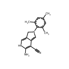 Cc1cc(C)c(N2C=C3C(=CNC(N)=C3C#N)C2)c(C)c1